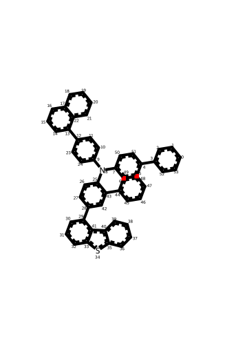 c1ccc(-c2ccc(N(c3ccc(-c4cccc5ccccc45)cc3)c3ccc(-c4cccc5sc6ccccc6c45)cc3-c3ccccc3)cc2)cc1